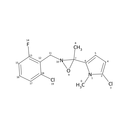 Cn1c(Cl)ccc1C1(C)ON1Cc1c(F)cccc1Cl